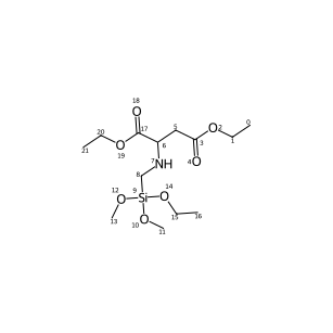 CCOC(=O)CC(NC[Si](OC)(OC)OCC)C(=O)OCC